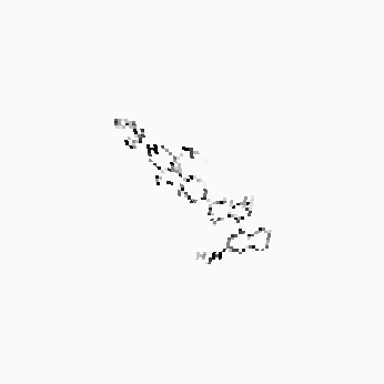 C[C@@H]1CN(C(=O)OC(C)(C)C)C[C@H](C)N1c1ccc(-c2cnc3c(-c4cc(N)cc5ccccc45)cnn3c2)cc1